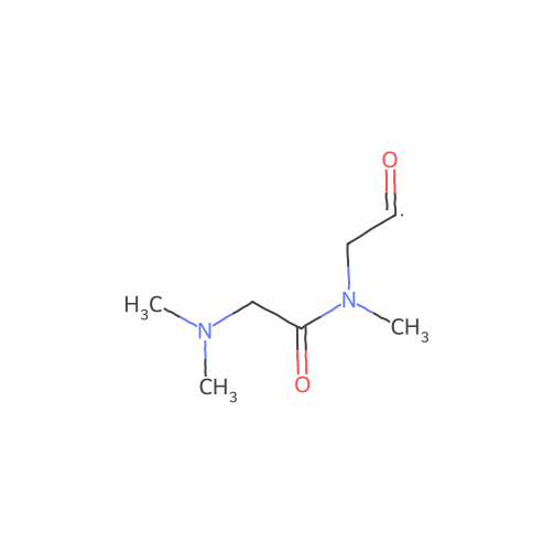 CN(C)CC(=O)N(C)C[C]=O